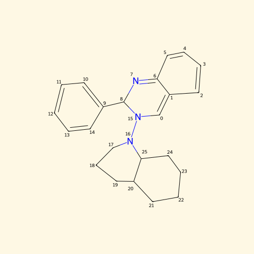 C1=c2ccccc2=NC(c2ccccc2)N1N1CCCC2CCCCC21